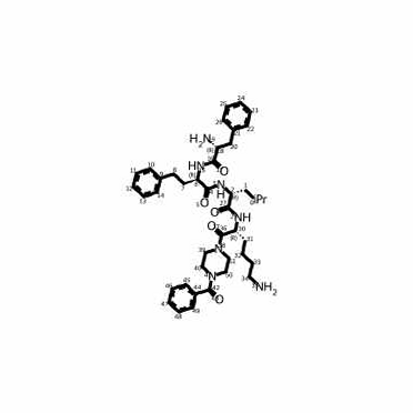 CC(C)C[C@@H](NC(=O)[C@@H](CCc1ccccc1)NC(=O)[C@H](N)Cc1ccccc1)C(=O)N[C@H](CCCCN)C(=O)N1CCN(C(=O)c2ccccc2)CC1